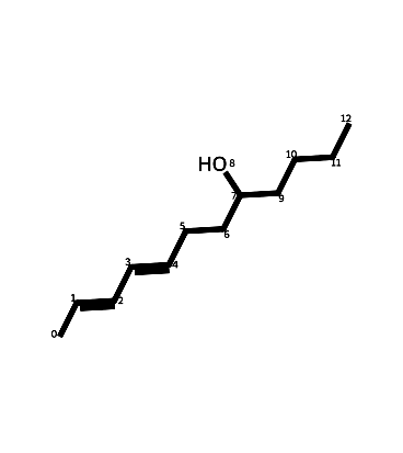 CC=CC=CCCC(O)CCCC